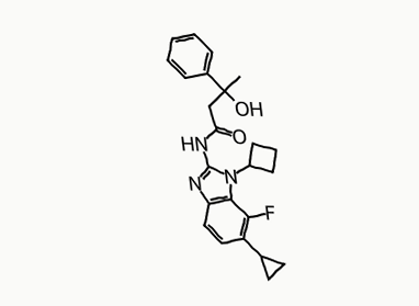 CC(O)(CC(=O)Nc1nc2ccc(C3CC3)c(F)c2n1C1CCC1)c1ccccc1